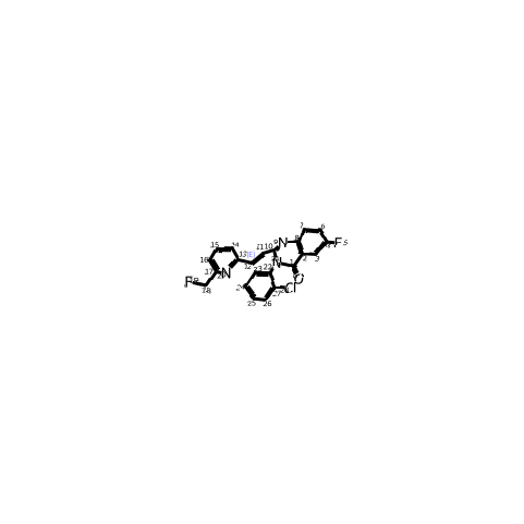 O=c1c2cc(F)ccc2nc(/C=C/c2cccc(CF)n2)n1-c1ccccc1Cl